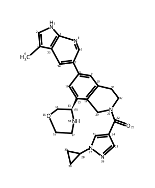 Cc1c[nH]c2ncc(-c3cc4c(c([C@@H]5COCCN5)c3)CN(C(=O)c3cnn(C5CC5)c3)CC4)cc12